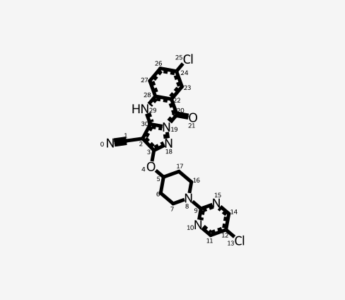 N#Cc1c(OC2CCN(c3ncc(Cl)cn3)CC2)nn2c(=O)c3cc(Cl)ccc3[nH]c12